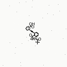 COC(=O)c1c(C#CC2CCCN2C(=O)O)cccc1NC(=O)C(C)(C)C